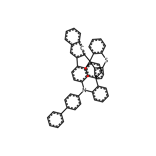 c1ccc(-c2ccc(N(c3ccc4c(c3)C3(c5ccccc5Sc5ccccc53)c3cc5ccccc5cc3-4)c3ccccc3-c3ccccc3)cc2)cc1